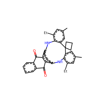 CCc1cc(C)cc2c1Nc1ccc(c3c1C(=O)c1ccccc1C3=O)Nc1c(CC)cc(C)cc1C21CCC1